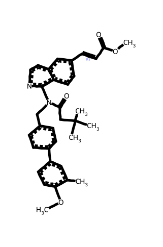 COC(=O)/C=C/c1ccc2c(N(Cc3ccc(-c4ccc(OC)c(C)c4)cc3)C(=O)CC(C)(C)C)nccc2c1